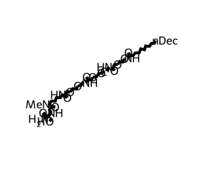 CCCCCCCCCCCCCCCCCCCC(=O)NOCCOCC(=O)NCCOCCOCC(=O)NCCOCCOCC(=O)NCCCC[C@H](NC)C(=O)CN[C@@H](CO)C(N)=O